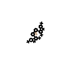 CC(C)(C)c1cc(-c2cccc3c2sc2c(-c4cc(C(C)(C)C)cc5c4-c4ccc(C(C)(C)C)cc4C5(C)C)cccc23)c2c(c1)C(C)(C)C1=C2C=CC(C(C)(C)C)C1